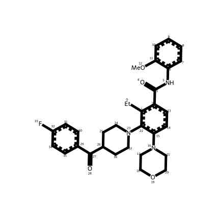 CCc1c(C(=O)Nc2ccccc2OC)ccc(N2CCOCC2)c1N1CCC(C(=O)c2ccc(F)cc2)CC1